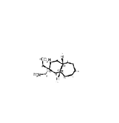 NC[C@]1(CC(=O)O)CC[C@@H]2CCCCC[C@@H]2C1